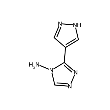 Nn1cnnc1-c1cn[nH]c1